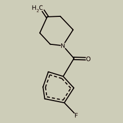 C=C1CCN(C(=O)c2cccc(F)c2)CC1